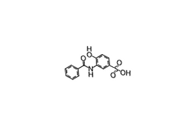 O=C(Nc1cc(S(=O)(=O)O)ccc1O)c1ccccc1